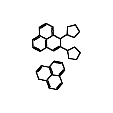 C1=C(C2CCCC2)C(C2CCCC2)c2cccc3cccc1c23.C1=Cc2cccc3cccc(c23)C1